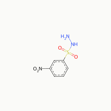 NNS(=O)(=O)c1cccc([N+](=O)[O-])c1